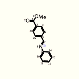 COC(=O)c1ccc(/C=N/c2ccccc2)cc1